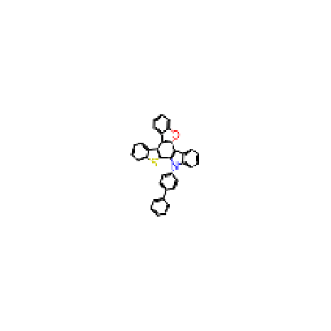 c1ccc(-c2ccc(-n3c4ccccc4c4c5oc6ccccc6c5c5c6ccccc6sc5c43)cc2)cc1